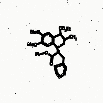 CCOC(=O)N1c2cc(OC)c(OC)cc2C(N(Cc2ccccc2)C(=O)OC(C)C)CC1C